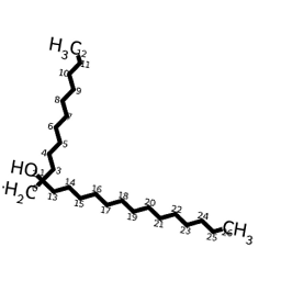 [CH2]C(O)(CCCCCCCCCC)CCCCCCCCCCCCCC